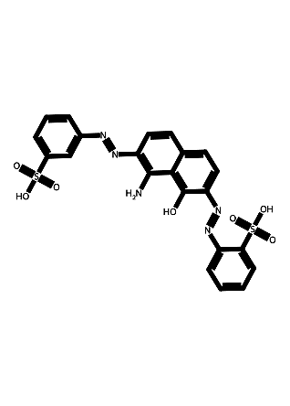 Nc1c(N=Nc2cccc(S(=O)(=O)O)c2)ccc2ccc(N=Nc3ccccc3S(=O)(=O)O)c(O)c12